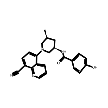 C[C@H]1C[C@@H](NC(=O)c2ccc(O)cc2)CN(c2ccc(C#N)c3ncccc23)C1